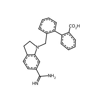 N=C(N)c1ccc2c(c1)N(Cc1ccccc1-c1ccccc1C(=O)O)CC2